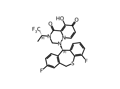 C[C@@H](N1CN([C@@H]2c3ccc(F)cc3CSc3c(F)cccc32)n2ccc(=O)c(O)c2C1=O)C(F)(F)F